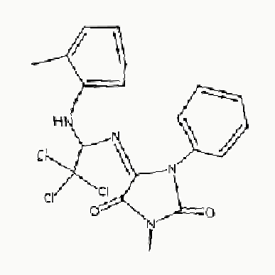 Cc1ccccc1NC(N=C1C(=O)N(C)C(=O)N1c1ccccc1)C(Cl)(Cl)Cl